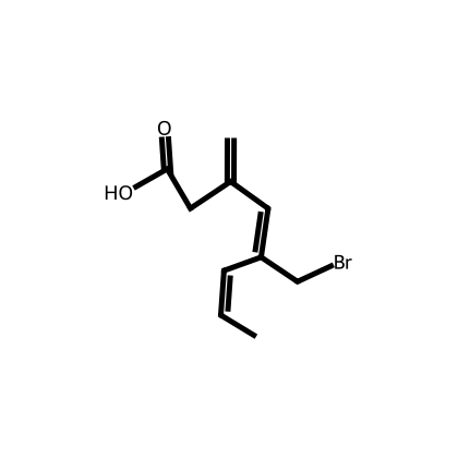 C=C(/C=C(\C=C/C)CBr)CC(=O)O